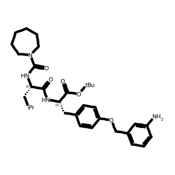 CC(C)C[C@H](NC(=O)N1CCCCCC1)C(=O)N[C@@H](Cc1ccc(OCc2cccc(N)c2)cc1)C(=O)OC(C)(C)C